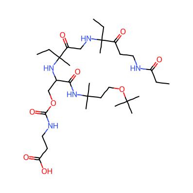 CCC(=O)NCCC(=O)C(C)(CC)NCC(=O)C(C)(CC)NC(COC(=O)NCCC(=O)O)C(=O)NC(C)(C)CCOC(C)(C)C